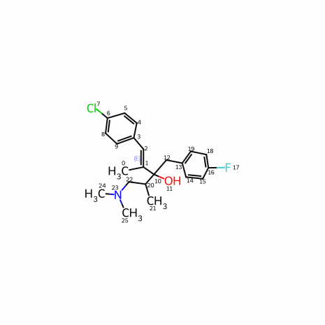 C/C(=C\c1ccc(Cl)cc1)C(O)(Cc1ccc(F)cc1)C(C)CN(C)C